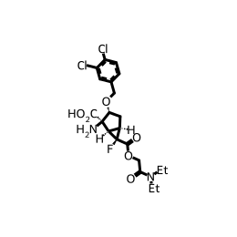 CCN(CC)C(=O)COC(=O)[C@@]1(F)[C@@H]2C[C@@H](OCc3ccc(Cl)c(Cl)c3)[C@@](N)(C(=O)O)[C@@H]21